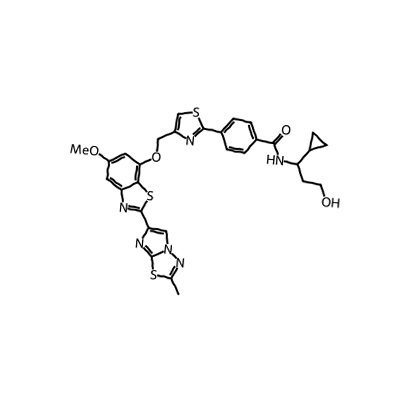 COc1cc(OCc2csc(-c3ccc(C(=O)NC(CCO)C4CC4)cc3)n2)c2sc(-c3cn4nc(C)sc4n3)nc2c1